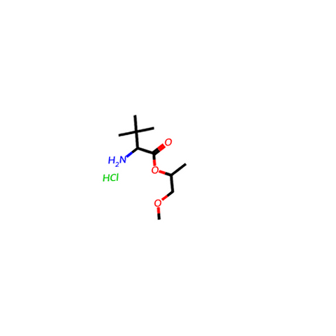 COCC(C)OC(=O)C(N)C(C)(C)C.Cl